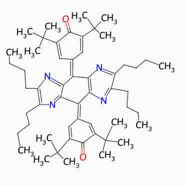 CCCCc1nc2c(=C3C=C(C(C)(C)C)C(=O)C(C(C)(C)C)=C3)c3nc(CCCC)c(CCCC)nc3c(=C3C=C(C(C)(C)C)C(=O)C(C(C)(C)C)=C3)c2nc1CCCC